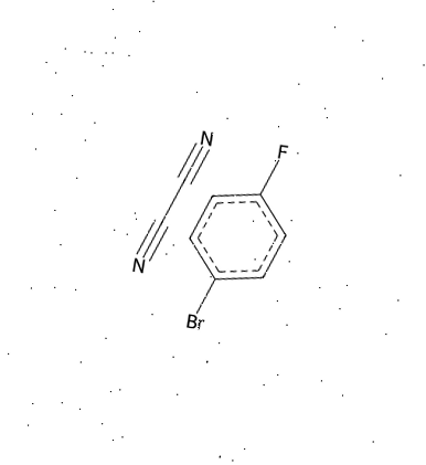 Fc1ccc(Br)cc1.N#CC#N